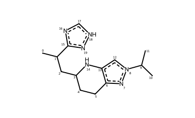 CC(CC1CCc2nn(C(C)C)cc2N1)c1nc[nH]n1